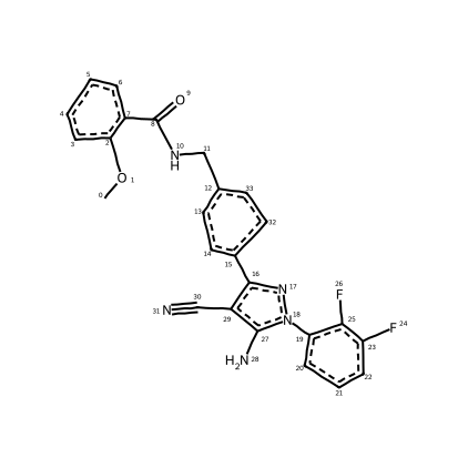 COc1ccccc1C(=O)NCc1ccc(-c2nn(-c3cccc(F)c3F)c(N)c2C#N)cc1